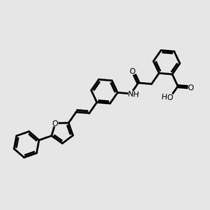 O=C(Cc1ccccc1C(=O)O)Nc1cccc(/C=C/c2ccc(-c3ccccc3)o2)c1